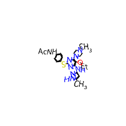 CCOc1c(Nc2cc(C)[nH]n2)nc(Sc2ccc(NC(C)=O)cc2)nc1N1CCN(C)CC1